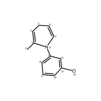 CC1=CCC=CN1c1cccc(Cl)c1